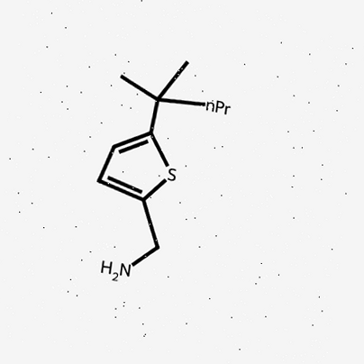 CCCC(C)(C)c1ccc(CN)s1